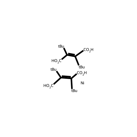 CC(C)(C)/C(C(=O)O)=C(\C(=O)O)C(C)(C)C.CC(C)(C)/C(C(=O)O)=C(\C(=O)O)C(C)(C)C.[Ni]